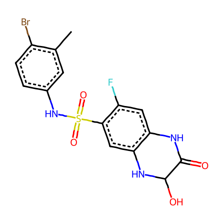 Cc1cc(NS(=O)(=O)c2cc3c(cc2F)NC(=O)C(O)N3)ccc1Br